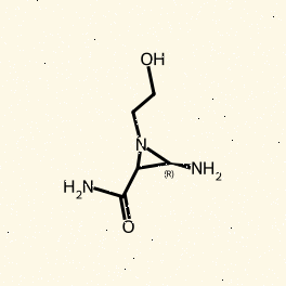 NC(=O)C1[C@H](N)N1CCO